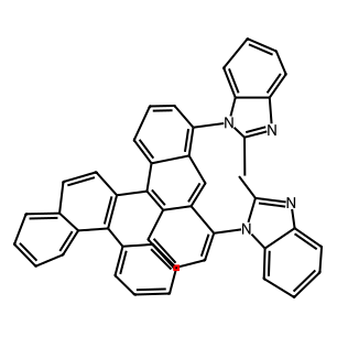 Cc1nc2ccccc2n1-c1cccc2c(-c3ccc4ccccc4c3-c3ccccc3)c3cccc(-n4c(C)nc5ccccc54)c3cc12